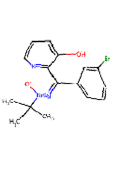 CC(C)(C)[NH+]([O-])N=C(c1cccc(Br)c1)c1ncccc1O